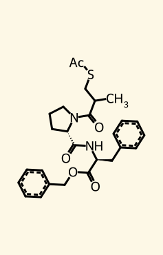 CC(=O)SCC(C)C(=O)N1CCC[C@H]1C(=O)N[C@@H](Cc1ccccc1)C(=O)OCc1ccccc1